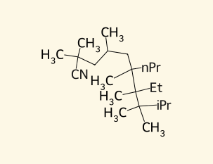 CCCC(C)(CC(C)CC(C)(C)C#N)C(C)(CC)C(C)(C)C(C)C